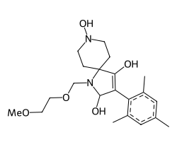 COCCOCN1C(O)C(c2c(C)cc(C)cc2C)=C(O)C12CCN(O)CC2